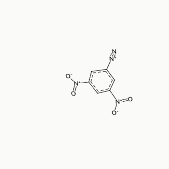 N#[N+]c1cc([N+](=O)[O-])cc([N+](=O)[O-])c1